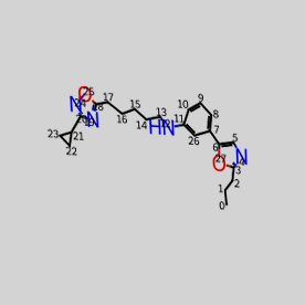 CCCc1ncc(-c2cccc(NCCCCCc3nc(C4CC4)no3)c2)o1